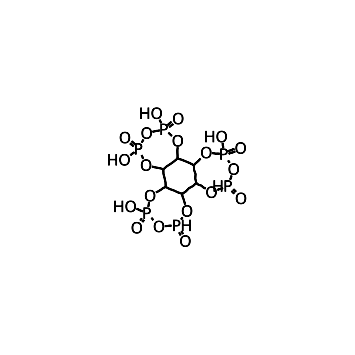 O=[PH]1OC2C3O[PH](=O)OP(=O)(O)OC3C3OP(=O)(O)OP(=O)(O)OC3C2OP(=O)(O)O1